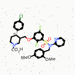 COc1ccc(CN(c2ccccn2)S(=O)(=O)c2cc(F)cc(OCC3CN(C(=O)O)CC[C@@H]3c3ccc(Cl)cc3)c2F)c(OC)c1